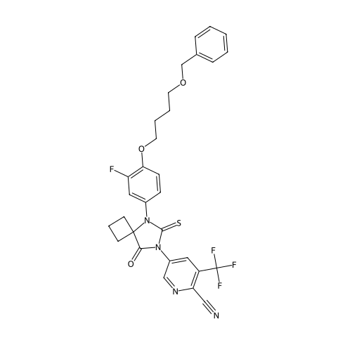 N#Cc1ncc(N2C(=O)C3(CCC3)N(c3ccc(OCCCCOCc4ccccc4)c(F)c3)C2=S)cc1C(F)(F)F